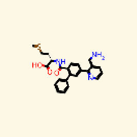 CSCC[C@H](NC(=O)c1ccc(-c2ncccc2CN)cc1-c1ccccc1)C(=O)O